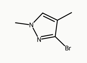 Cc1cn(C)nc1Br